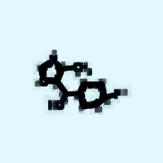 Cc1ncoc1C(O)c1ccc(F)cc1